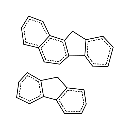 c1ccc2c(c1)Cc1c-2ccc2ccccc12.c1ccc2c(c1)Cc1ccccc1-2